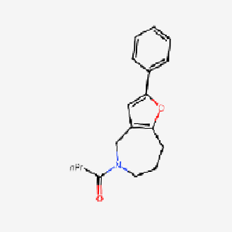 CCCC(=O)N1CCCc2oc(-c3ccccc3)cc2C1